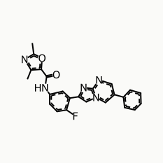 Cc1nc(C)c(C(=O)Nc2ccc(F)c(-c3cn4cc(-c5ccccc5)cnc4n3)c2)o1